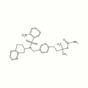 CC(C)(CCc1ccc(CN(C2CCc3cccnc3C2)S(=O)(=O)c2ccccc2[N+](=O)[O-])cc1)OC(N)=O